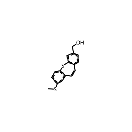 CSc1ccc2c(c1)C=Cc1ccc(CO)cc1S2